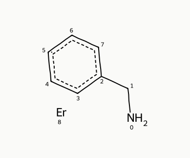 NCc1cc[c]cc1.[Er]